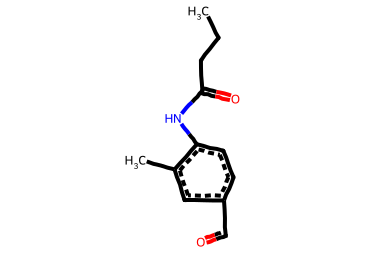 CCCC(=O)Nc1ccc(C=O)cc1C